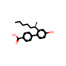 CCCCC[C@@H](C)c1cc(O)ccc1-c1ccc(C(=O)O)cc1